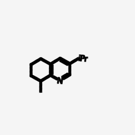 CC(C)c1cnc2c(c1)CCCC2C